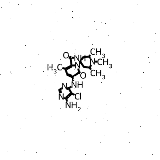 Cc1cc(Nc2ncnc(N)c2Cl)c(=O)n2c1C(=O)NC21CC(C)N(C)C(C)C1